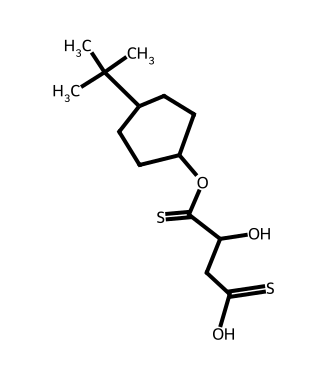 CC(C)(C)C1CCC(OC(=S)C(O)CC(O)=S)CC1